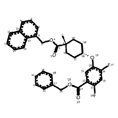 C[C@]1(C(=O)OCc2cccc3ccccc23)CC[C@@H](Oc2cc(C(=O)OCc3ccccc3)c(F)cc2F)CC1